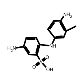 Cc1cc(Nc2ccc(N)cc2S(=O)(=O)O)ccc1N